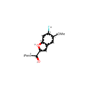 CCCC(C)C(=O)c1cc2cc(OC)c(F)cc2o1